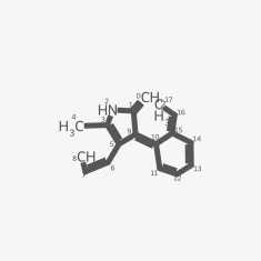 C=c1[nH]c(C)c(/C=C\C)/c1=c1\cccc\c1=C\C